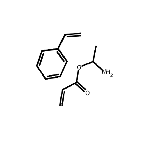 C=CC(=O)OC(C)N.C=Cc1ccccc1